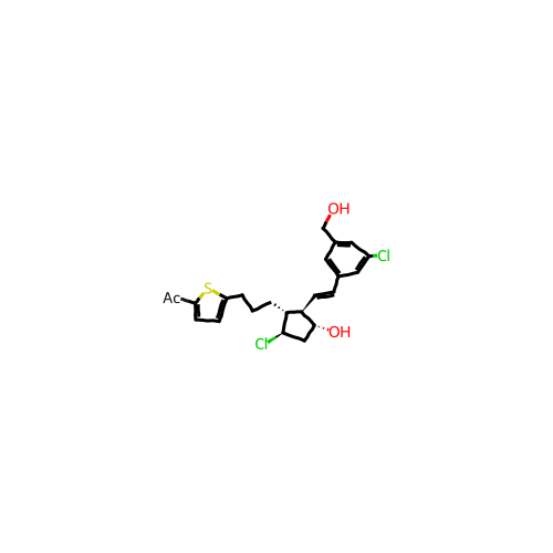 CC(=O)c1ccc(CCC[C@@H]2[C@@H](/C=C/c3cc(Cl)cc(CO)c3)[C@H](O)C[C@H]2Cl)s1